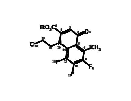 CCOC(=O)c1cc(=O)c2c(C)c(F)c(F)c(F)c2n1CCCl